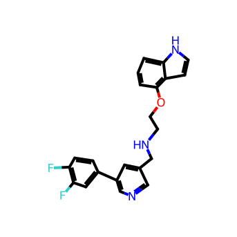 Fc1ccc(-c2cncc(CNCCOc3cccc4[nH]ccc34)c2)cc1F